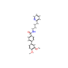 COc1ccc(-c2ccc(C(=O)NCCCCc3ccccn3)cc2)cc1OC